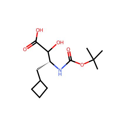 CC(C)(C)OC(=O)N[C@H](CC1CCC1)C(O)C(=O)O